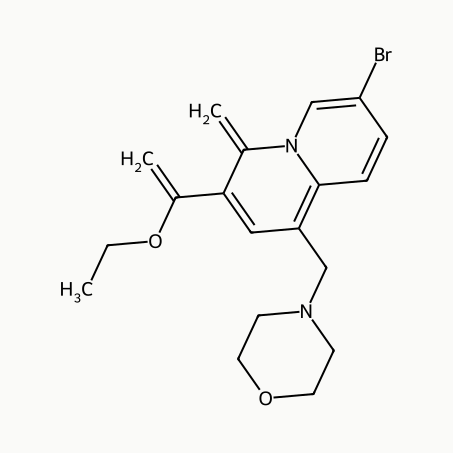 C=C(OCC)C1=CC(CN2CCOCC2)=C2C=CC(Br)=CN2C1=C